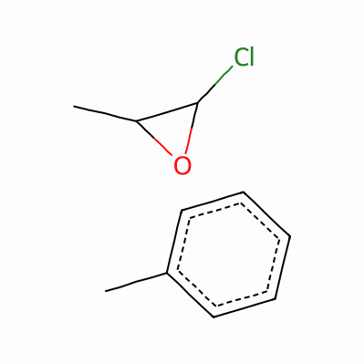 CC1OC1Cl.Cc1ccccc1